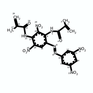 C=C(C)C(=O)Nc1c(N=Nc2cc([N+](=O)[O-])cc([N+](=O)[O-])c2)cc([N+](=O)[O-])c(NC(=O)C(=C)C)c1[N+](=O)[O-]